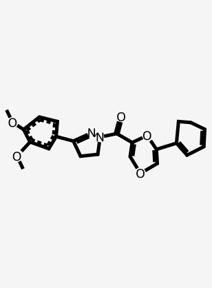 COc1ccc(C2=NN(C(=O)C3=COC=C(C4=CC=CCC4)O3)CC2)cc1OC